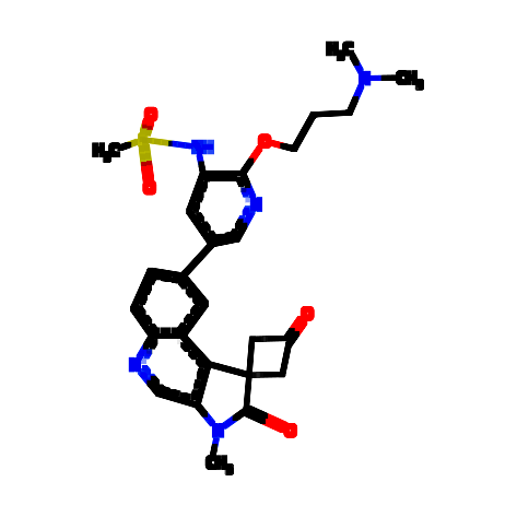 CN(C)CCCOc1ncc(-c2ccc3ncc4c(c3c2)C2(CC(=O)C2)C(=O)N4C)cc1NS(C)(=O)=O